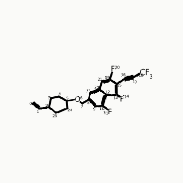 C=CC1CCC(OCc2cc(F)c3c(F)c(C#CC(F)(F)F)c(F)cc3c2)CC1